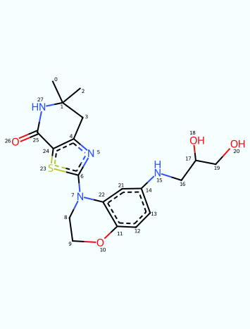 CC1(C)Cc2nc(N3CCOc4ccc(NCC(O)CO)cc43)sc2C(=O)N1